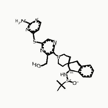 CC(C)(C)[S+]([O-])N[C@@H]1c2ccccc2CC12CCN(c1ncc(Sc3ccnc(N)n3)nc1CO)CC2